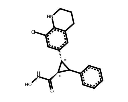 O=C(NO)[C@@H]1C(c2ccccc2)[C@H]1c1cc(Cl)c2c(c1)CCCN2